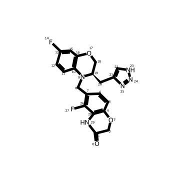 O=C1COc2ccc(CN3c4ccc(F)cc4OC[C@H]3Cc3c[nH]nn3)c(F)c2N1